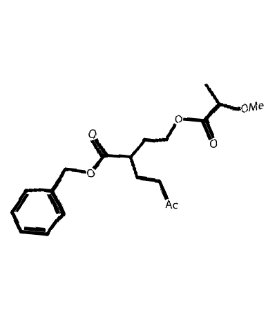 COC(C)C(=O)OCCC(CCC(C)=O)C(=O)OCc1ccccc1